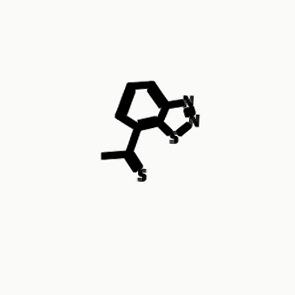 CC(=S)c1cccc2nnsc12